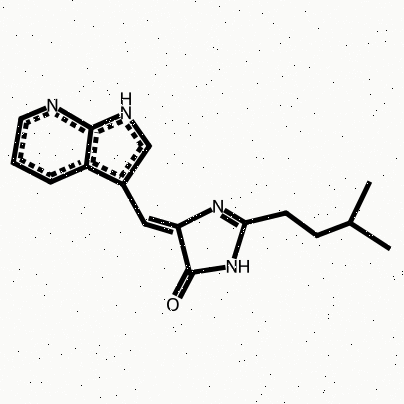 CC(C)CCC1=NC(=Cc2c[nH]c3ncccc23)C(=O)N1